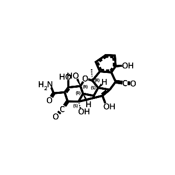 C[C@]12O[C@@]3(O)C(O)=C(C(N)=O)C(=C=O)[C@]4(O)C(O)=C(C(=C=O)c5c(O)cccc51)[C@@H]2C[C@H]43